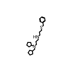 c1ccc(CSCCCNCCCN(CC2CCCC2)C2CCCC2)cc1